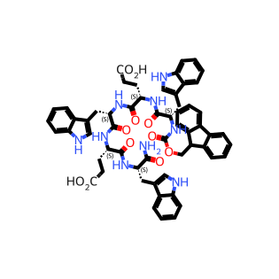 NC(=O)[C@H](Cc1c[nH]c2ccccc12)NC(=O)[C@H](CCC(=O)O)NC(=O)[C@H](Cc1c[nH]c2ccccc12)NC(=O)[C@H](CCC(=O)O)NC(=O)[C@H](Cc1c[nH]c2ccccc12)NC(=O)OCC1c2ccccc2-c2ccccc21